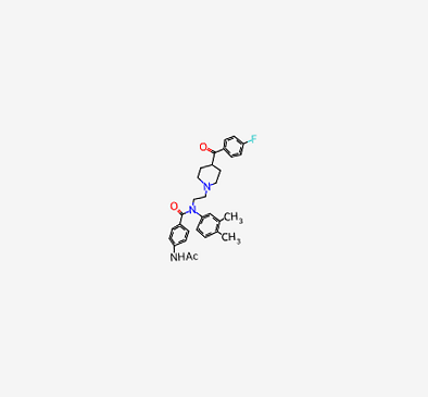 CC(=O)Nc1ccc(C(=O)N(CCN2CCC(C(=O)c3ccc(F)cc3)CC2)c2ccc(C)c(C)c2)cc1